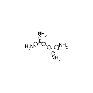 NC1=CC[C@@H]([C@@H](c2ccc(N)cc2)c2ccc(-c3ccc(C(C4=CC=C(N)C5CC45)c4ccc(N)cc4)cc3)cc2)C=C1